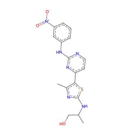 Cc1nc(NC(C)CO)sc1-c1ccnc(Nc2cccc([N+](=O)[O-])c2)n1